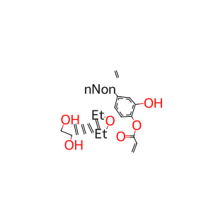 C=C.C=C.C=C.C=C.C=C.C=CC(=O)Oc1ccc(CCCCCCCCC)cc1O.CCOCC.OCCO